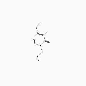 CCCC1C=NC(CC)=C(O)C1=O